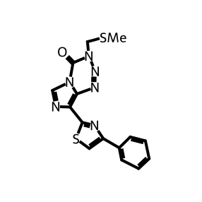 CSCn1nnc2c(-c3nc(-c4ccccc4)cs3)ncn2c1=O